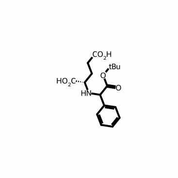 CC(C)(C)OC(=O)C(N[C@@H](CCC(=O)O)C(=O)O)c1ccccc1